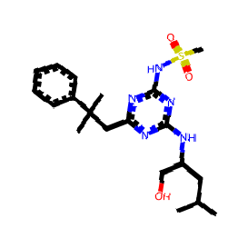 CC(C)CC(CO)Nc1nc(CC(C)(C)c2ccccc2)nc(NS(C)(=O)=O)n1